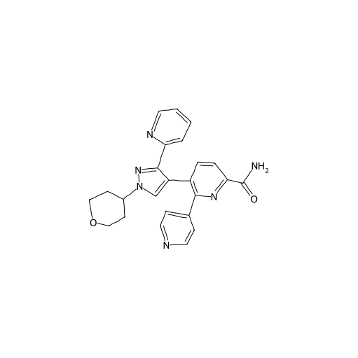 NC(=O)c1ccc(-c2cn(C3CCOCC3)nc2-c2ccccn2)c(-c2ccncc2)n1